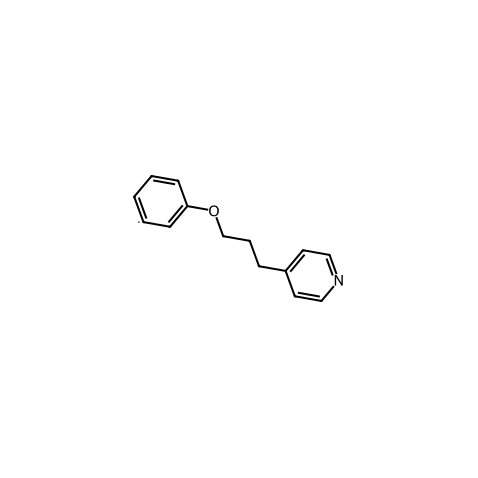 [c]1cccc(OCCCc2ccncc2)c1